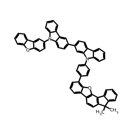 CC1(C)c2ccccc2-c2c1ccc1c2oc2c(-c3ccc(-n4c5ccccc5c5ccc(-c6ccc7c(c6)c6ccccc6n7-c6ccc7oc8ccccc8c7c6)cc54)cc3)cccc21